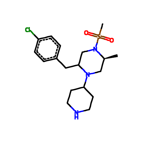 C[C@H]1CN(C2CCNCC2)C(Cc2ccc(Cl)cc2)CN1S(C)(=O)=O